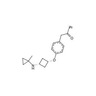 CC(C)C(=O)Cc1ccc(O[C@H]2C[C@@H](NC3(C)CC3)C2)cc1